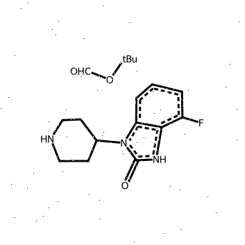 CC(C)(C)OC=O.O=c1[nH]c2c(F)cccc2n1C1CCNCC1